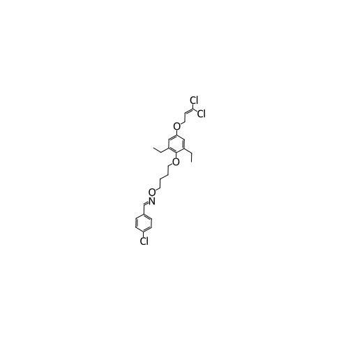 CCc1cc(OCC=C(Cl)Cl)cc(CC)c1OCCCCON=Cc1ccc(Cl)cc1